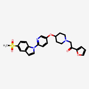 CS(=O)(=O)c1ccc2c(ccn2-c2ccc(OC3CCN(CC(=O)c4ccco4)CC3)cn2)c1